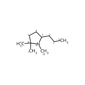 CCCC1CCC(C)(C)N1C